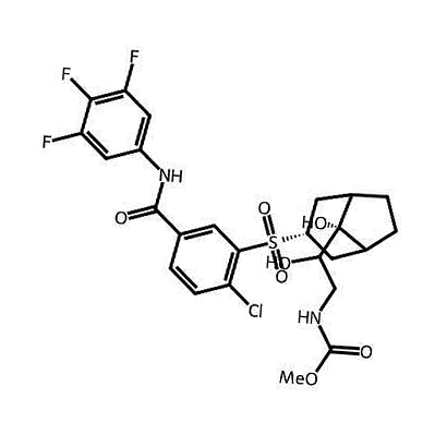 COC(=O)NCC(O)[C@]1(O)C2CCC1C[C@@H](S(=O)(=O)c1cc(C(=O)Nc3cc(F)c(F)c(F)c3)ccc1Cl)C2